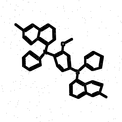 COc1cc(N(c2ccccc2)c2cccc3cc(C)ccc23)ccc1N(c1ccccc1)c1cccc2cc(C)ccc12